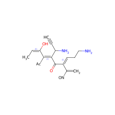 C#CC(N)/C(C(=O)/C(=C/CCN)C(=C)N=O)=C(C(C)=O)\C(O)=C/C